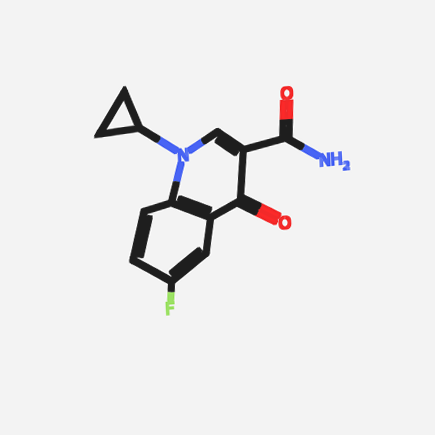 NC(=O)c1cn(C2CC2)c2ccc(F)cc2c1=O